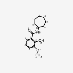 COc1ccnc(C(=O)NC2CCCCCC2)c1O